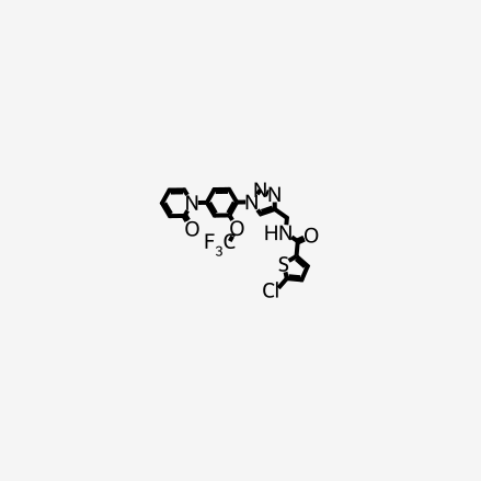 O=C(NCc1cn(-c2ccc(-n3ccccc3=O)cc2OC(F)(F)F)nn1)c1ccc(Cl)s1